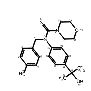 N#Cc1ccc(CN(C(=S)N2CCOCC2)c2ccc(C(O)(C(F)(F)F)C(F)(F)F)cc2)cc1